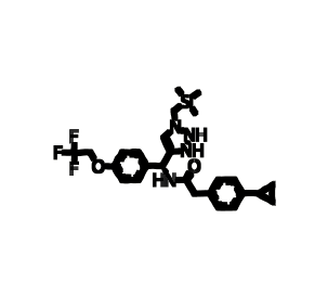 C[Si](C)(C)CN1C=C([C@@H](NC(=O)Cc2ccc(C3CC3)cc2)c2ccc(OCC(F)(F)F)cc2)NN1